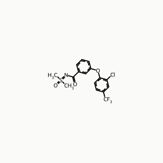 CS(C)(=O)=NC(=O)c1cccc(Oc2ccc(C(F)(F)F)cc2Cl)c1